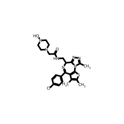 Cc1sc2c(c1C)C(c1ccc(Cl)cc1)=NC(CNC(=O)CN1CCN(O)CC1)c1nnc(C)n1-2